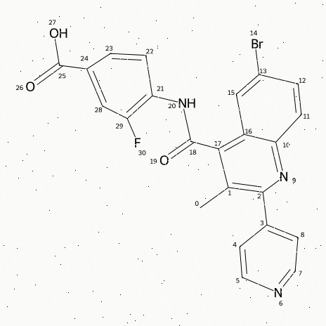 Cc1c(-c2ccncc2)nc2ccc(Br)cc2c1C(=O)Nc1ccc(C(=O)O)cc1F